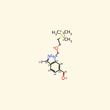 CS(C)(C)CCOCn1nc(I)c2ccc(C=O)cc21